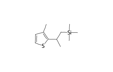 Cc1ccsc1C(C)C[Si](C)(C)C